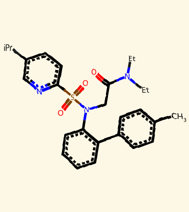 CCN(CC)C(=O)CN(c1ccccc1-c1ccc(C)cc1)S(=O)(=O)c1ccc(C(C)C)cn1